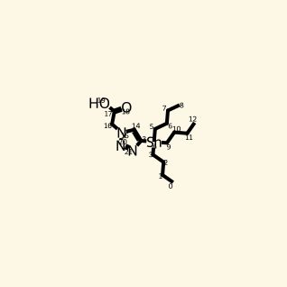 CCC[CH2][Sn]([CH2]CCC)([CH2]CCC)[c]1cn(CC(=O)O)nn1